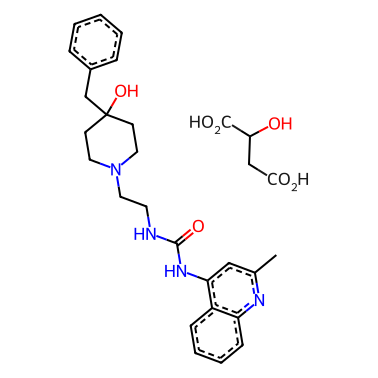 Cc1cc(NC(=O)NCCN2CCC(O)(Cc3ccccc3)CC2)c2ccccc2n1.O=C(O)CC(O)C(=O)O